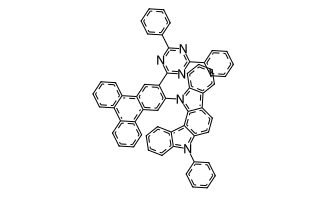 c1ccc(-c2nc(-c3ccccc3)nc(-c3cc4c5ccccc5c5ccccc5c4cc3-n3c4ccccc4c4ccc5c(c6ccccc6n5-c5ccccc5)c43)n2)cc1